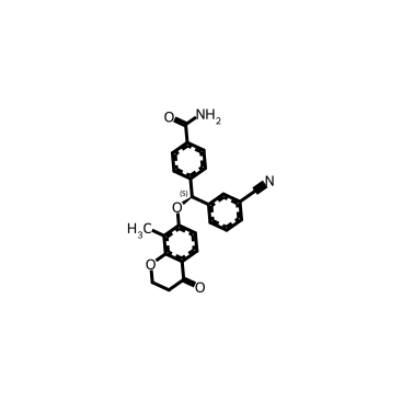 Cc1c(O[C@@H](c2ccc(C(N)=O)cc2)c2cccc(C#N)c2)ccc2c1OCCC2=O